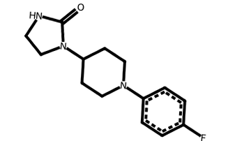 O=C1NCCN1C1CCN(c2ccc(F)cc2)CC1